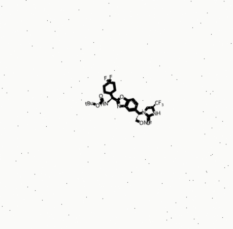 COC[C@H](c1ccc2oc([C@@H](NC(=O)OC(C)(C)C)C3CCC(F)(F)CC3)nc2c1)N1C[C@@H](C(F)(F)F)NC1=O